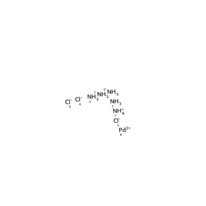 N.N.N.N.[Cl-].[Cl-].[Cl-].[NH4+].[Pd+2]